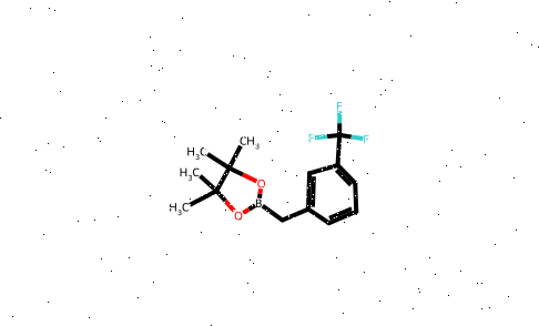 CC1(C)OB(Cc2cccc(C(F)(F)F)c2)OC1(C)C